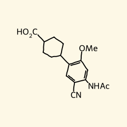 COc1cc(NC(C)=O)c(C#N)cc1C1CCC(C(=O)O)CC1